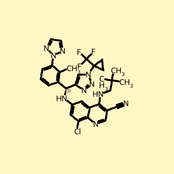 Cc1c([C@H](Nc2cc(Cl)c3ncc(C#N)c(NCC(C)(C)C)c3c2)c2cn(C3(C(F)(F)F)CC3)nn2)cccc1-n1nccn1